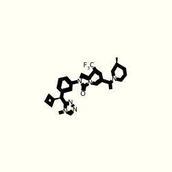 CC(c1cc(C(F)(F)F)c2cn(-c3cccc([C@@H](c4nncn4C)C4CCC4)c3)c(=O)n2c1)N1CCC[C@H](C)C1